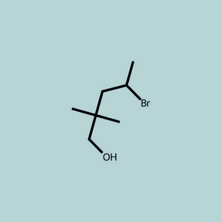 CC(Br)CC(C)(C)CO